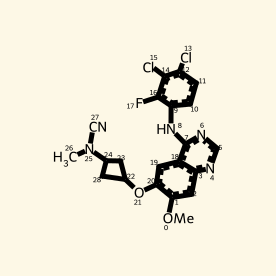 COc1cc2ncnc(Nc3ccc(Cl)c(Cl)c3F)c2cc1OC1CC(N(C)C#N)C1